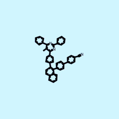 Cc1c(-c2ccccc2)nc(-c2ccccc2)nc1-c1ccc(-c2ccc3ccccc3c2-c2ccc(-c3ccc(C#N)cc3)cc2)cc1